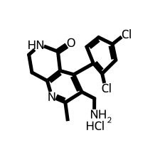 Cc1nc2c(c(-c3ccc(Cl)cc3Cl)c1CN)C(=O)NCC2.Cl